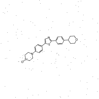 [O-][S+]1CCN(c2ccc(-c3cnc(-c4ccc(C5CCOCC5)cc4)s3)cc2)CC1